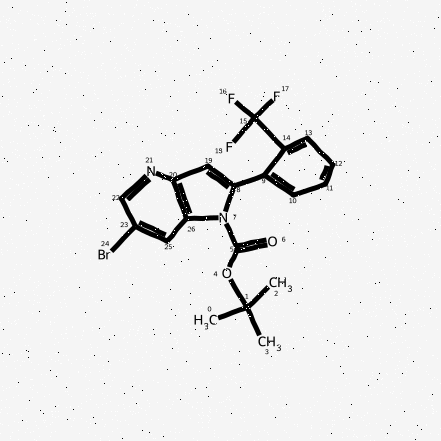 CC(C)(C)OC(=O)n1c(-c2ccccc2C(F)(F)F)cc2ncc(Br)cc21